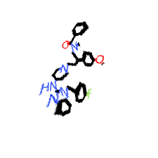 COc1ccc(C(CCN2CCC(Nc3nc4ccccc4n3Cc3ccc(F)cc3)CC2)CN(C)C(=O)c2ccccc2)cc1